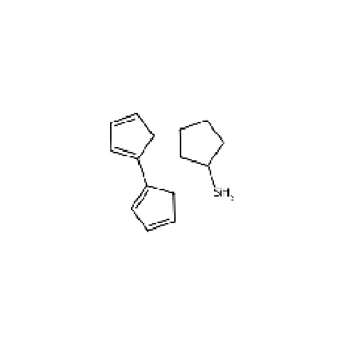 C1=CCC(C2=CC=CC2)=C1.[SiH3]C1CCCC1